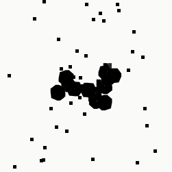 c1ccc(-n2c3ccccc3c3cc(-c4ccc5c(c4)c4ccc6ccccc6c4n5-c4ccc5c(n4)-c4ccnc6cccc-5c46)ccc32)cc1